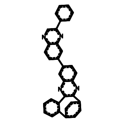 c1ccc(-c2cnc3ccc(-c4ccc5nc6c(nc5c4)-c4ccccc4-c4ccc-6cc4)cc3n2)cc1